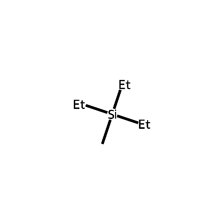 CC[Si](C)(CC)CC